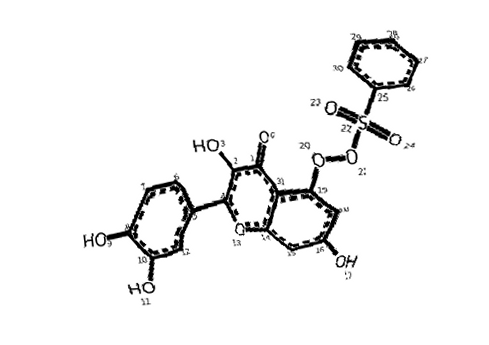 O=c1c(O)c(-c2ccc(O)c(O)c2)oc2cc(O)cc(OOS(=O)(=O)c3ccccc3)c12